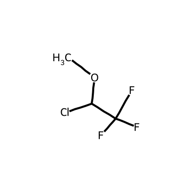 COC(Cl)C(F)(F)F